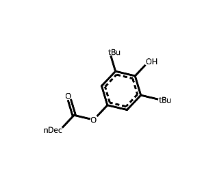 CCCCCCCCCCC(=O)Oc1cc(C(C)(C)C)c(O)c(C(C)(C)C)c1